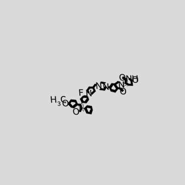 COc1ccc2c(c1)OC[C@@H](c1ccccc1)[C@H]2c1ccc(N2CCC(CN3CCN(c4ccc5c(c4)CN([C@H]4CCC(=O)NC4=O)C5=O)CC3)CC2)c(F)c1